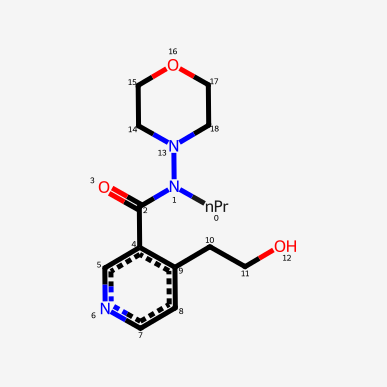 [CH2]CCN(C(=O)c1cnccc1CCO)N1CCOCC1